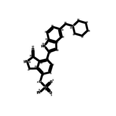 CC(C)S(=O)(=O)Oc1ccc(-c2cc3cc(CN4CCCCC4)ccc3[nH]2)c2c1CNC2=O